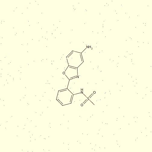 CS(=O)(=O)Nc1ccccc1-c1nc2cc(N)ccc2o1